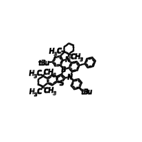 CC(C)(C)c1ccc(N2c3cc(-c4ccccc4)cc4c3B(c3cc(C(C)(C)C)cc5c3N4C3(C)CCCCC53C)c3c2sc2cc4c(cc32)C(C)(C)CCC4(C)C)cc1